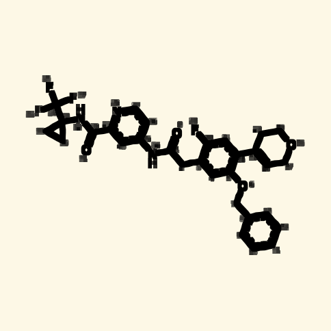 O=C(Cc1cc(OCc2ccccc2)c(C2=CCOCC2)cc1F)Nc1ccnc(C(=O)NC2(C(F)(F)F)CC2)c1